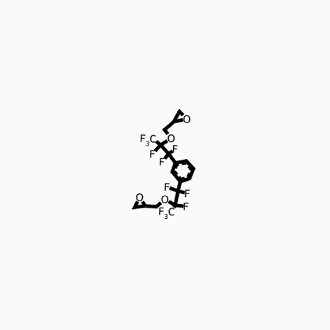 FC(F)(F)C(F)(OCC1CO1)C(F)(F)c1cccc(C(F)(F)C(F)(OCC2CO2)C(F)(F)F)c1